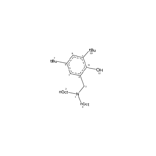 CCCCCCCCN(CCCCCCCC)Cc1cc(C(C)(C)C)cc(C(C)(C)C)c1O